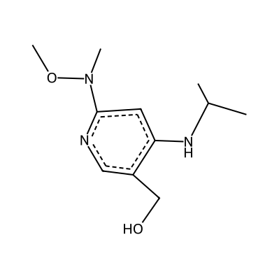 CON(C)c1cc(NC(C)C)c(CO)cn1